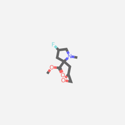 COC(=O)C1(CC2CO2)CC(F)CN1C